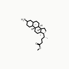 COC(=O)CC[C@@H](C)[C@H]1CC[C@H]2[C@@H]3CCC4CC(N)CC[C@]4(C)[C@H]3CC[C@]12C